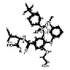 COc1cccc(Oc2c(NS(=O)(=O)c3ccc(C(C)(C)C)cc3)cc(C(=O)NC(CC(C)C)C(=O)O)cc2OCCO)c1